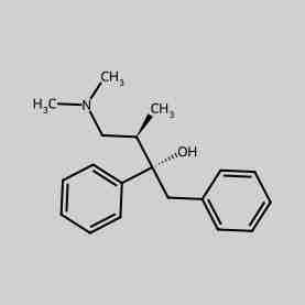 C[C@H](CN(C)C)[C@@](O)(Cc1ccccc1)c1ccccc1